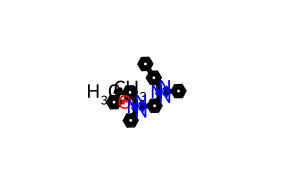 CC1(C)c2ccccc2Oc2c(-c3nc(-c4ccccc4)nc(-c4cccc(-c5nc(-c6ccccc6)nc(-c6ccc(-c7ccccc7)cc6)n5)c4)n3)cccc21